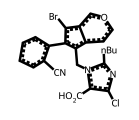 CCCCc1nc(Cl)c(C(=O)O)n1Cc1c2ccocc-2c(Br)c1-c1ccccc1C#N